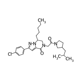 CCCCCC1CN(CC(=O)N2CCC(CC(C)C)C2)C(=O)c2cc(-c3ccc(Cl)cc3)nn21